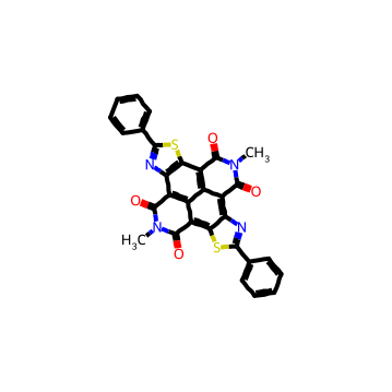 CN1C(=O)c2c3nc(-c4ccccc4)sc3c3c4c(c5nc(-c6ccccc6)sc5c(c24)C1=O)C(=O)N(C)C3=O